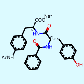 CC(=O)Nc1ccc(C[C@H](NC(=O)[C@H](Cc2ccc(O)cc2)NC(=O)c2ccccc2)C(=O)[O-])cc1.[Na+]